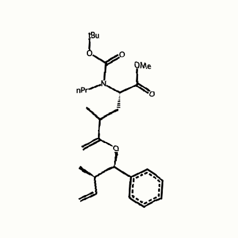 C=C[C@@H](C)[C@@H](OC(=C)C(C)C[C@@H](C(=O)OC)N(CCC)C(=O)OC(C)(C)C)c1ccccc1